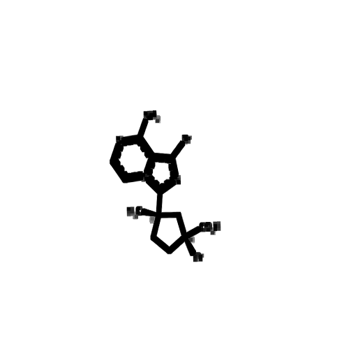 CC(C)[C@@]1(C(=O)O)CC[C@](C)(c2nc(Br)c3c(N)nccn23)C1